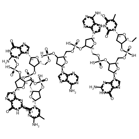 CC[C@H]1O[C@@H](n2cc(C)c(=O)[nH]c2=O)CC1OP(=O)(S)OC[C@H]1O[C@@H](n2cnc3c(=O)[nH]c(N)nc32)CC1OP(=O)(S)OC[C@H]1O[C@@H](n2cnc3c(N)ncnc32)CC1OP(=O)(S)OC[C@H]1O[C@@H](n2cnc3c(N)ncnc32)CC1OP(=O)(S)OC[C@H]1O[C@@H](n2cnc3c(=O)[nH]c(N)nc32)CC1OP(=O)(S)OC[C@H]1O[C@@H](n2cc(C)c(N)nc2=O)CC1OP(=O)(S)OC[C@H]1O[C@@H](n2cnc3c(=O)[nH]c(N)nc32)CC1OP(=O)(S)OC